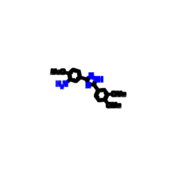 COc1ccc(-c2n[nH]c(-c3ccc(OC)c(OC)c3)n2)cc1N